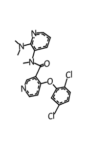 CN(C)c1ncccc1N(C)C(=O)c1cnccc1Oc1cc(Cl)ccc1Cl